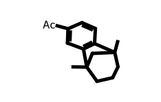 CC(=O)c1ccc2c(c1)C1(C)CCCC2(C)C1